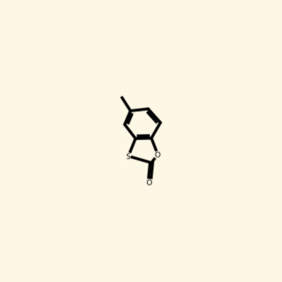 Cc1ccc2oc(=O)sc2c1